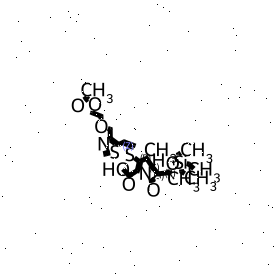 CC[Si](CC)(CC)O[C@H](C)[C@H]1C(=O)N2C(C(=O)O)=C(S/C=C\c3scnc3COCCOC(C)=O)[C@H](C)[C@H]12